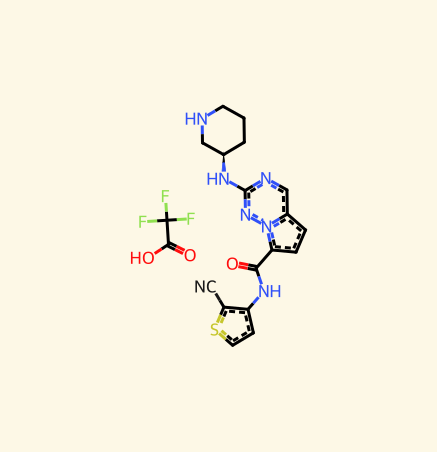 N#Cc1sccc1NC(=O)c1ccc2cnc(N[C@@H]3CCCNC3)nn12.O=C(O)C(F)(F)F